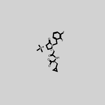 C[N+](C)(C)C.O=C(C[C@@H]1CCC(=O)N1Cc1cccc(F)c1F)N[C@@H](CC1CC1)C(=O)[O-]